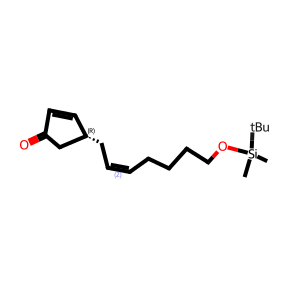 CC(C)(C)[Si](C)(C)OCCCC/C=C\C[C@H]1C=CC(=O)C1